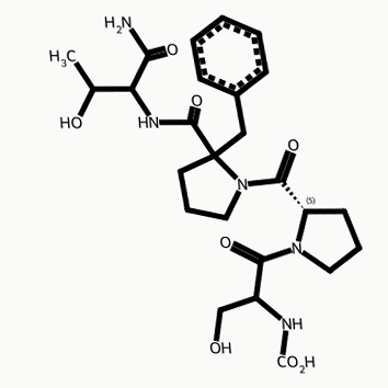 CC(O)C(NC(=O)C1(Cc2ccccc2)CCCN1C(=O)[C@@H]1CCCN1C(=O)C(CO)NC(=O)O)C(N)=O